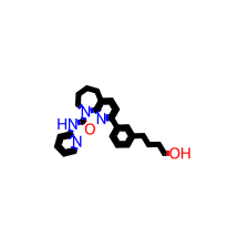 O=C(Nc1ccccn1)N1CCCCc2ccc(-c3cccc(CCCCO)c3)nc21